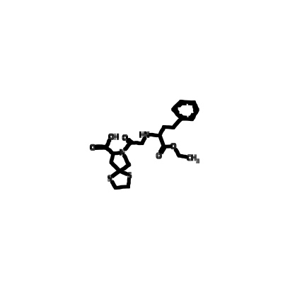 CCOC(=O)C(CCc1ccccc1)NCC(=O)N1CC2(CC1C(=O)O)SCCS2